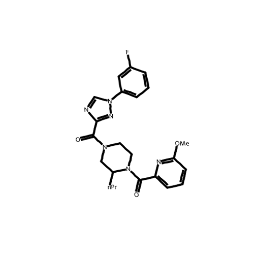 CCCC1CN(C(=O)c2ncn(-c3cccc(F)c3)n2)CCN1C(=O)c1cccc(OC)n1